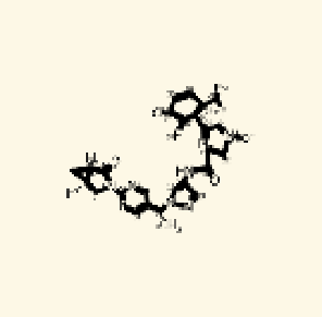 C[C@@H](c1cnc(N2C[C@H]3C[C@H]3C2=O)nc1)n1cc(NC(=O)c2c[n+]([O-])cc(-c3c(C(F)F)ccc(Cl)c3F)n2)cn1